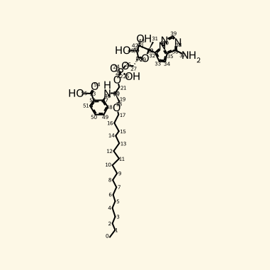 CCCCCCCCCCCCCCCCCCOC[C@H](COP(=O)(O)OC[C@H]1O[C@@](C)(c2ccc3c(N)ncnn23)[C@H](O)[C@@H]1O)Nc1ccccc1C(=O)O